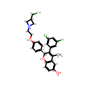 CC1=C(c2cc(F)cc(F)c2)[C@H](c2ccc(OCCN3CC(CF)C3)cc2)Oc2ccc(O)cc21